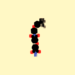 CC(C)c1ccc(Oc2ccc(N3C(=O)c4ccc(Oc5ccc6c(c5)C(=O)NC6=O)cc4C3=O)cc2)cc1